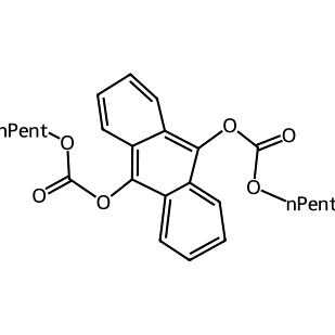 CCCCCOC(=O)Oc1c2ccccc2c(OC(=O)OCCCCC)c2ccccc12